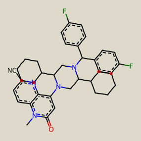 Cn1c(=O)cc(N2CC(C3CCCCC3)N(C(c3ccc(F)cc3)c3ccc(F)cc3)CC2C2CCCCC2)c2nc(C#N)ccc21